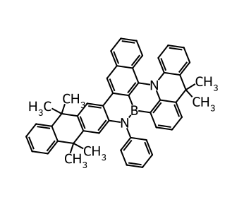 CC1(C)c2ccccc2C(C)(C)c2cc3c(cc21)-c1cc2ccccc2c2c1B(c1cccc4c1N2c1ccccc1C4(C)C)N3c1ccccc1